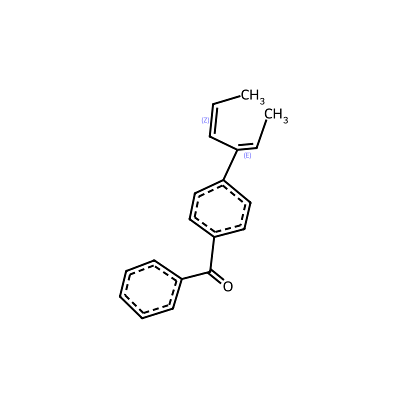 C/C=C\C(=C/C)c1ccc(C(=O)c2ccccc2)cc1